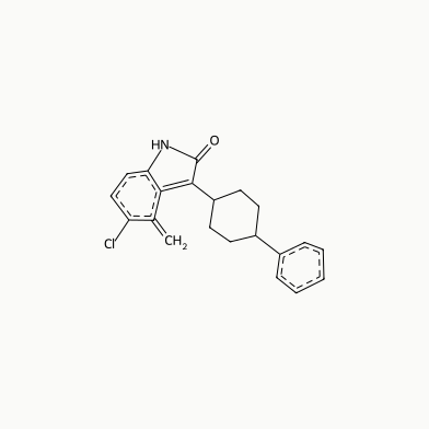 C=c1c(Cl)ccc2c1=C(C1CCC(c3ccccc3)CC1)C(=O)N2